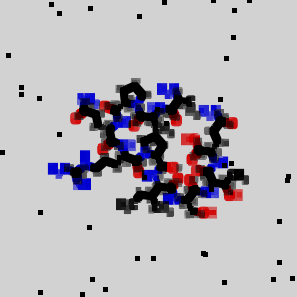 CC[C@H](C)[C@H](NC(=O)[C@@H]1CCCN1C(=O)[C@H](CCCNC(=N)N)NC(=O)[C@H](CCC(N)=O)NC(=O)[C@@H]1CCCN1C(=O)[C@H](C)NC(=O)[C@H](C)N)C(=O)N[C@@H](CO)C(=O)N[C@H](C(=O)N[C@@H](CCC(N)=O)C(=O)O)[C@@H](C)O